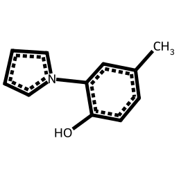 Cc1ccc(O)c(-n2cccc2)c1